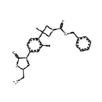 CC1(c2ccc(N3CC(CN)OC3=O)cc2F)CN(C(=O)OCc2ccccc2)C1